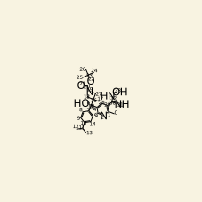 Cc1ncc([C@@](O)(c2ccc(C(C)C)cc2)C2(C)CN(C(=O)OC(C)(C)C)C2)cc1C(=N)NO